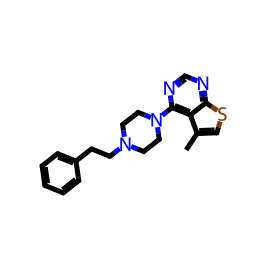 Cc1csc2ncnc(N3CCN(CCc4ccccc4)CC3)c12